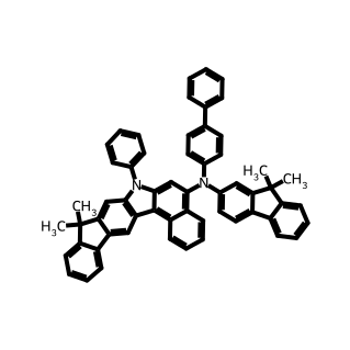 CC1(C)c2ccccc2-c2ccc(N(c3ccc(-c4ccccc4)cc3)c3cc4c(c5ccccc35)c3cc5c(cc3n4-c3ccccc3)C(C)(C)c3ccccc3-5)cc21